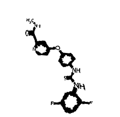 CNC(=O)c1cc(Oc2ccc(NC(=S)Nc3cc(F)ccc3F)cc2)ccn1